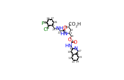 O=C(O)CC[C@@H](COC(=O)Nc1cc2ccccc2cn1)NC(=O)CNCc1cccc(F)c1Cl